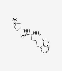 CC(=O)N1CC[C@@H](NC(=O)[C@@H](N)CCCc2cccnc2N)C1